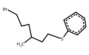 CC(C)CCCC(C)CCSc1[c]cccc1